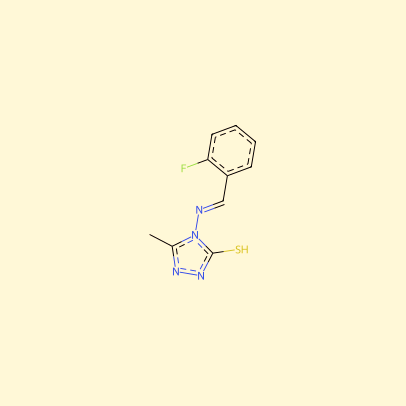 Cc1nnc(S)n1N=Cc1ccccc1F